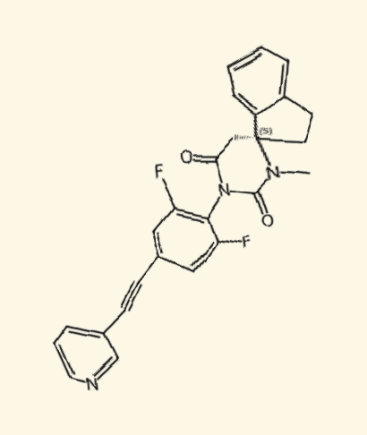 CN1C(=O)N(c2c(F)cc(C#Cc3cccnc3)cc2F)C(=O)C[C@]12CCc1ccccc12